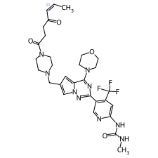 C/C=C\C(=O)CCC(=O)N1CCN(Cc2cc3c(N4CCOCC4)nc(-c4cnc(NC(=O)NC)cc4C(F)(F)F)nn3c2)CC1